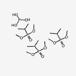 COP(=O)(OC)C(C)C.COP(=O)(OC)C(C)C.COP(=O)(OC)C(C)C.OP(O)O